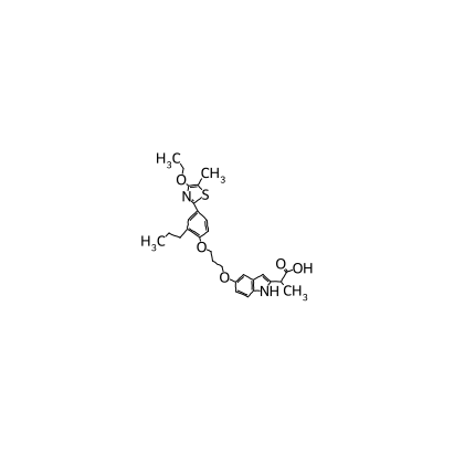 CCCc1cc(-c2nc(OCC)c(C)s2)ccc1OCCCOc1ccc2[nH]c(C(C)C(=O)O)cc2c1